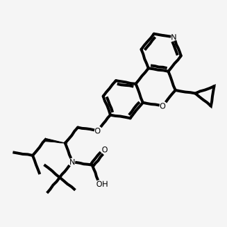 CC(C)C[C@@H](COc1ccc2c(c1)OC(C1CC1)c1cnccc1-2)N(C(=O)O)C(C)(C)C